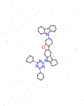 c1ccc(-c2nc(-c3ccccc3)nc(-n3c4ccccc4c4cc5c(cc43)oc3cc(-n4c6ccccc6c6ccccc64)ccc35)n2)cc1